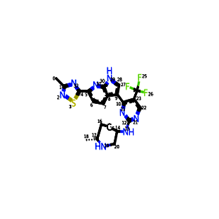 Cc1nsc(-c2ccc3c(-c4nc(NC5CC[C@@H](C)NC5)ncc4C(F)(F)F)c[nH]c3n2)n1